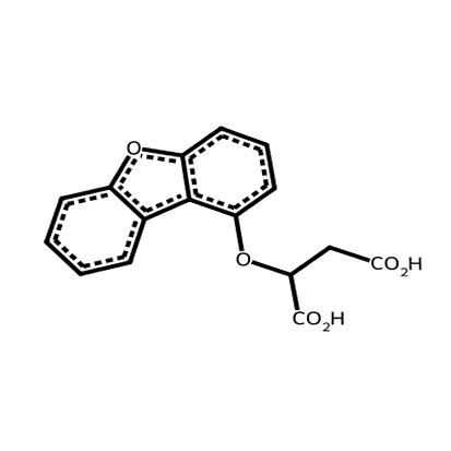 O=C(O)CC(Oc1cccc2oc3ccccc3c12)C(=O)O